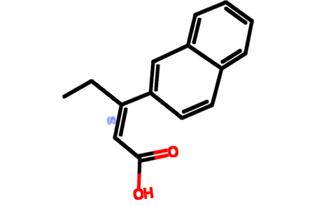 CC/C(=C/C(=O)O)c1ccc2ccccc2c1